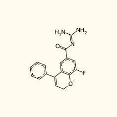 NC(N)=NC(=O)c1cc(F)c2c(c1)C(c1ccccc1)=CCO2